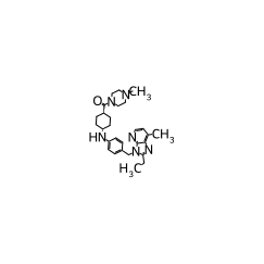 CCc1nc2c(C)ccnc2n1Cc1ccc(N[C@H]2CC[C@H](C(=O)N3CCN(C)CC3)CC2)cc1